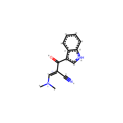 CN(C)/C=C(\C#N)C(=O)c1c[nH]c2ccccc12